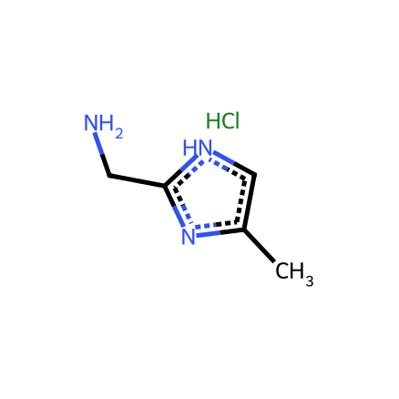 Cc1c[nH]c(CN)n1.Cl